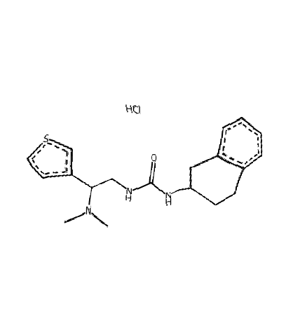 CN(C)C(CNC(=O)NC1CCc2ccccc2C1)c1ccsc1.Cl